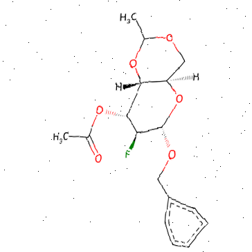 CC(=O)O[C@H]1[C@H](F)[C@@H](OCc2ccccc2)O[C@@H]2COC(C)O[C@@H]12